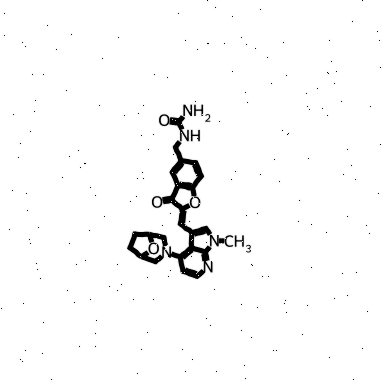 Cn1cc(C=C2Oc3ccc(CNC(N)=O)cc3C2=O)c2c(N3CC4CCC(C3)O4)ccnc21